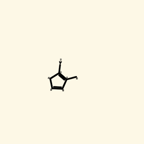 CC1=[C]([Y])CC=C1